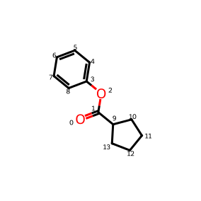 O=C(Oc1ccccc1)C1CCCC1